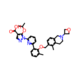 Cc1cccc(-c2cccc(-n3ncc(C(=O)O)c3OC(C)C)n2)c1OCc1ccc2c(c1C)CCN(C1COC1)C2